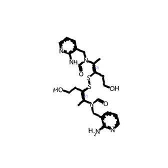 C/C(=C(\CCO)SS/C(CCO)=C(/C)N(C=O)Cc1cccnc1N)N(C=O)Cc1cccnc1N